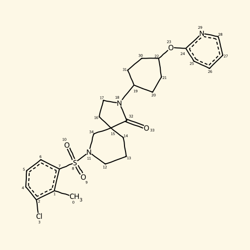 Cc1c(Cl)cccc1S(=O)(=O)N1CCCC2(CCN(C3CCC(Oc4ccccn4)CC3)C2=O)C1